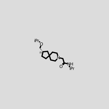 CC(C)NC(=O)CN1CCC2(CC[C@H](COC(C)C)C2)CC1